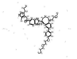 CCCCOCCOc1ccc(-c2ccc3c(c2)/C=C(/c2nc4cc([S@@+]([O-])Cc5c(C)ncn5CCC)ccc4[nH]2)CCCN3CCOC)cc1